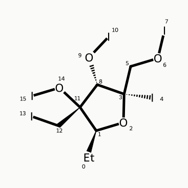 CC[C@@H]1O[C@](I)(COI)[C@@H](OI)[C@@]1(CI)OI